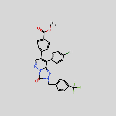 COC(=O)c1ccc(-c2cnn3c(=O)n(Cc4ccc(C(F)(F)F)cc4)nc3c2-c2ccc(Cl)cc2)cc1